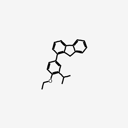 CCOc1ccc(-c2cccc3c2Cc2ccccc2-3)cc1C(C)C